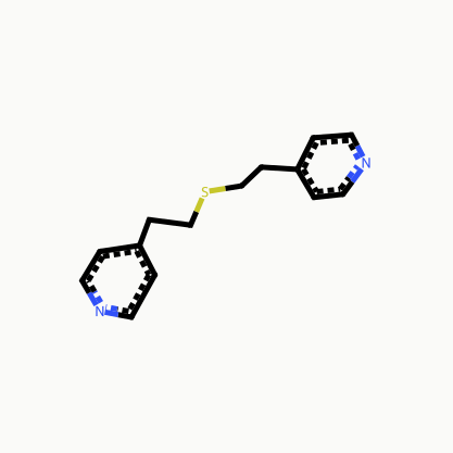 c1cc(CCSCCc2ccncc2)ccn1